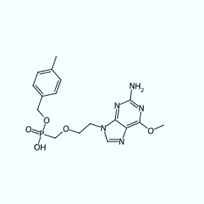 COc1nc(N)nc2c1ncn2CCOCP(=O)(O)OCc1ccc(C)cc1